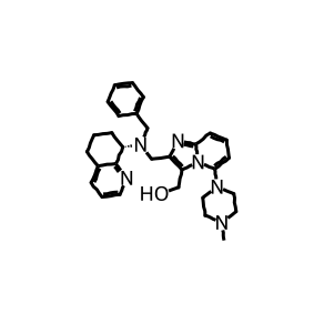 CN1CCN(c2cccc3nc(CN(Cc4ccccc4)[C@H]4CCCc5cccnc54)c(CO)n23)CC1